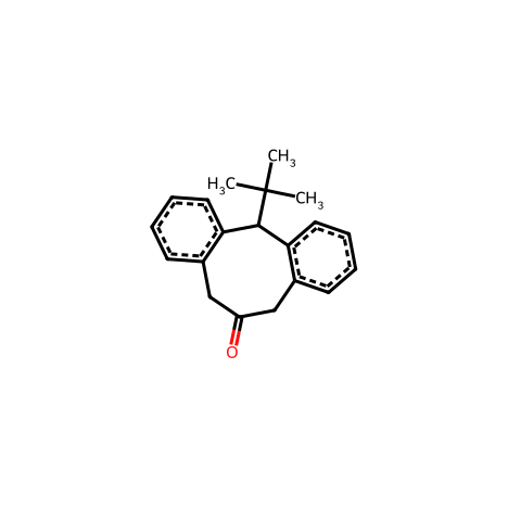 CC(C)(C)C1c2ccccc2CC(=O)Cc2ccccc21